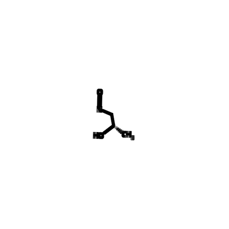 C[C@H](O)CN=O